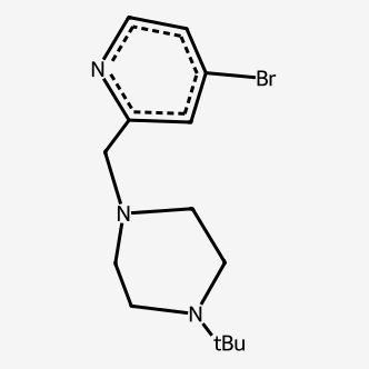 CC(C)(C)N1CCN(Cc2cc(Br)ccn2)CC1